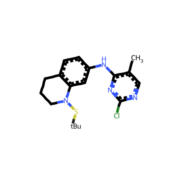 Cc1cnc(Cl)nc1Nc1ccc2c(c1)N(SC(C)(C)C)CCC2